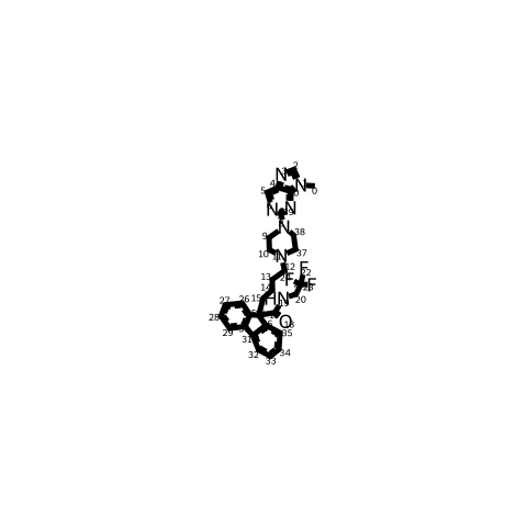 Cn1cnc2cnc(N3CCN(CCCCC4(C(=O)NCC(F)(F)F)c5ccccc5-c5ccccc54)CC3)nc21